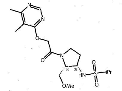 COC[C@H]1[C@@H](NS(=O)(=O)C(C)C)CCN1C(=O)COc1ncnc(C)c1C